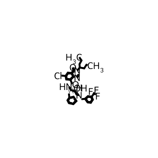 CCCC(CCC)n1cnc2c(C(=O)N[C@@H](Cc3ccccc3)[C@H](O)CNCc3cccc(C(F)(F)F)c3)cc(Cl)cc2c1=O